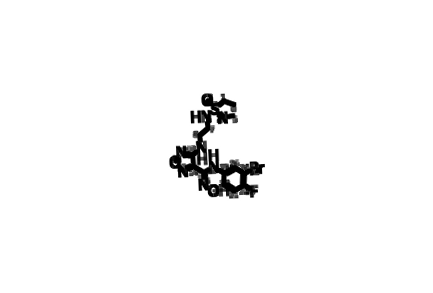 CCS(=O)(=NC)NCCNc1nonc1/C(=N/O)Nc1ccc(F)c(Br)c1